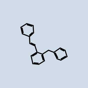 C(=Cc1ccccc1Cc1ccccc1)c1ccccc1